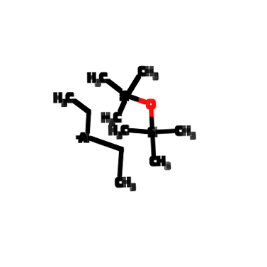 C[CH2][Al][CH2]C.C[Si](C)(C)O[Si](C)(C)C